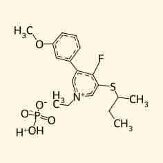 CCC(C)Sc1c[n+](CC)cc(-c2cccc(OC)c2)c1F.O=P([O-])([O-])O.[H+]